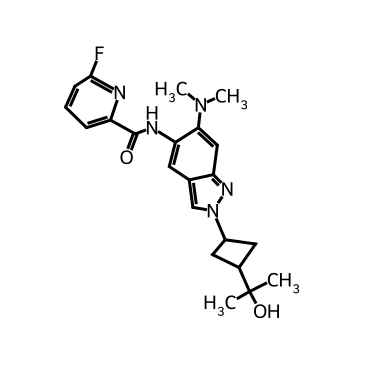 CN(C)c1cc2nn(C3CC(C(C)(C)O)C3)cc2cc1NC(=O)c1cccc(F)n1